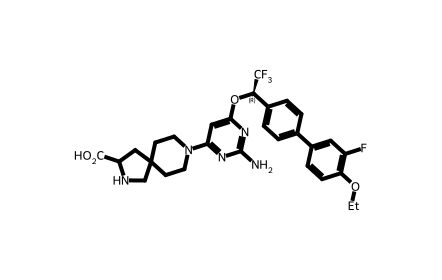 CCOc1ccc(-c2ccc([C@@H](Oc3cc(N4CCC5(CC4)CNC(C(=O)O)C5)nc(N)n3)C(F)(F)F)cc2)cc1F